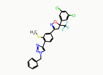 CSc1cc(C2=NOC(c3cc(Cl)cc(Cl)c3)(C(F)(F)F)C2)ccc1-c1cn(Cc2ccccc2)nn1